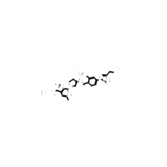 Cc1cc2c(N)noc2c(N2CC[C@@H](NC(=O)C3CC=C(n4cc(CCO)nn4)C=C3Cl)C2)n1